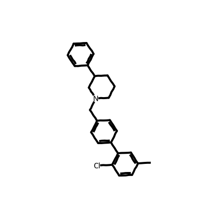 Cc1ccc(Cl)c(-c2ccc(CN3CCCC(c4ccccc4)C3)cc2)c1